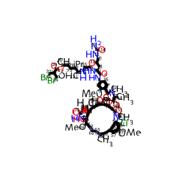 COc1cc(NC(=O)[C@H](CCCNC(N)=O)NC(=O)[C@@H](N[C@H](C=O)CCCC(C)OC(=O)C(CBr)CBr)C(C)C)ccc1C(=O)N(C)[C@@H](C)C(=O)O[C@H]1CC(=O)N(C)c2cc(cc(OC)c2Cl)C/C(C)=C/C=C/[C@@H](OC)[C@@]2(O)C[C@H](OC(=O)N2)[C@@H](C)[C@@H]2O[C@@]12C